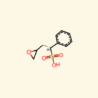 O=S(=O)(O)[C@H](CC1CO1)c1ccccc1